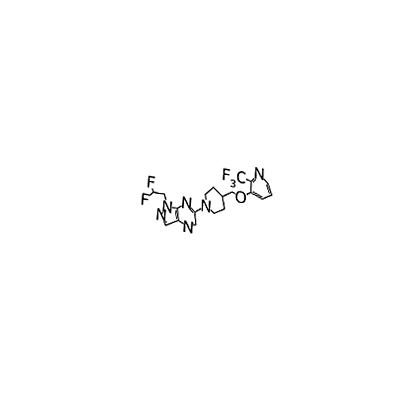 FC(F)Cn1ncc2ncc(N3CCC(COc4cccnc4C(F)(F)F)CC3)nc21